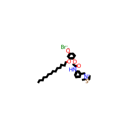 CCCCCCCCCCCCCCOc1cc(OC)ccc1OCC(=O)Nc1cccc(C[n+]2ccsc2C)c1.[Br-]